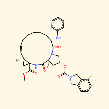 COC(=O)[C@@]12C[C@H]1/C=C\CCCCC[C@H](Nc1ccccc1)C(=O)N1C[C@H](OC(=O)N3Cc4cccc(F)c4C3)C[C@H]1C(=O)N2